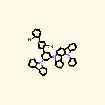 N#Cc1ccccc1-c1ccc(-c2cc(-n3c4ccccc4c4ccccc43)cc(-n3c4ccccc4c4c3ccc3c5ccccc5n(-c5ccccc5)c34)c2)c(C#N)c1